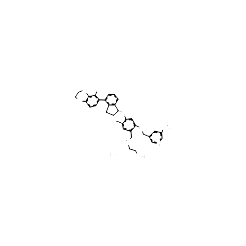 N#Cc1cncc(COc2cc(O[C@H]3CCc4c(-c5ccc6c(c5F)OCCO6)cccc43)c(Cl)cc2CN[C@@H](CO)C(=O)O)c1